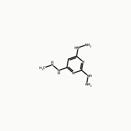 CNNc1cc(NN)nc(NN)n1